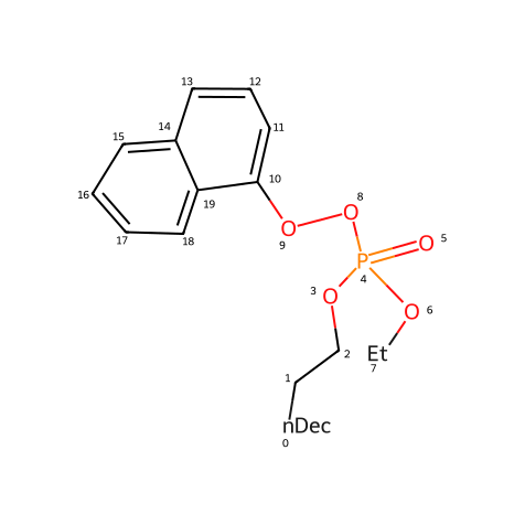 CCCCCCCCCCCCOP(=O)(OCC)OOc1cccc2ccccc12